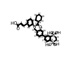 O=C(O)C=Cc1cccc(N(Cc2ccc(-c3ccc4c(c3)S(O)(O)CCS4(O)O)cc2)C(=O)C2CCCCC2)c1